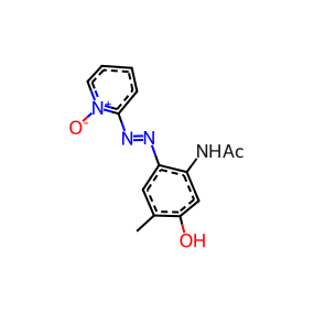 CC(=O)Nc1cc(O)c(C)cc1N=Nc1cccc[n+]1[O-]